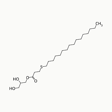 CCCCCCCCCCCCCCCCSCCC(=O)OCC(O)CO